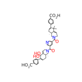 CC1(C)C(c2ccc(C(=O)O)cc2)=CC[C@]2(C)CN(C(=O)c3cncc(C(=O)N4CC=C5C(O)(O)C(c6ccc(C(=O)O)cc6)=CC[C@]5(C)C4)c3)CC=C12